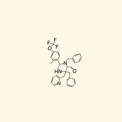 Cc1cc(OC(F)(F)F)ccc1C1CNC(Cc2ccccc2)(Cc2ccccn2)C(C=O)N1Cc1ccccc1